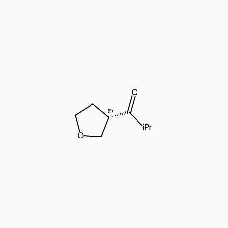 CC(C)C(=O)[C@H]1CCOC1